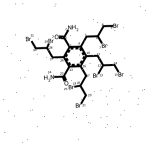 NC(=O)c1c(CC(Br)CBr)c(CC(Br)CBr)c(CC(Br)CBr)c(C(N)=O)c1CC(Br)CBr